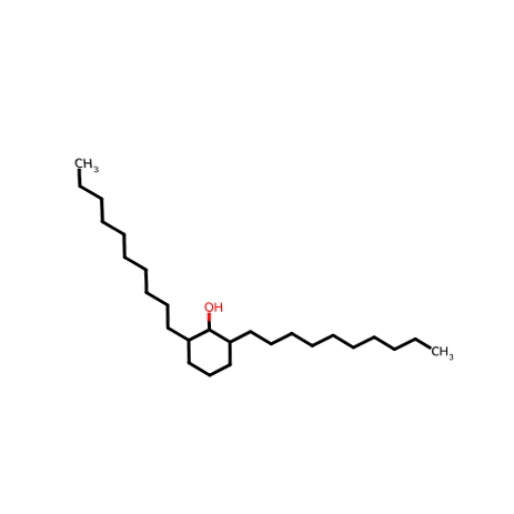 CCCCCCCCCCC1CCCC(CCCCCCCCCC)C1O